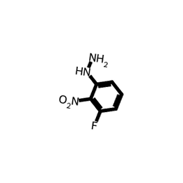 NNc1cccc(F)c1[N+](=O)[O-]